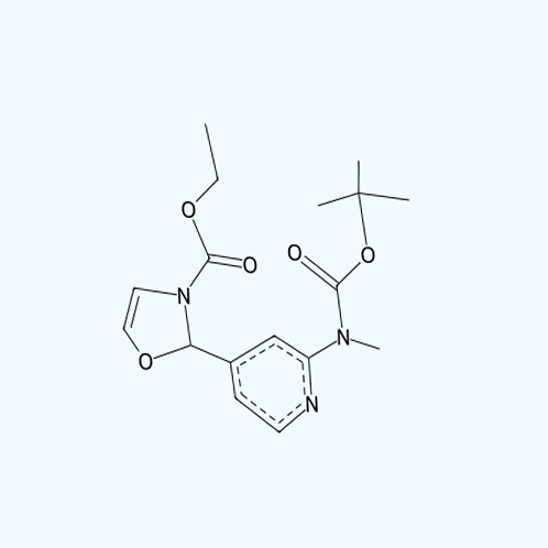 CCOC(=O)N1C=COC1c1ccnc(N(C)C(=O)OC(C)(C)C)c1